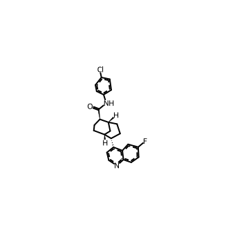 O=C(Nc1ccc(Cl)cc1)[C@@H]1CC[C@@H]2C[C@H]1CC[C@@H]2c1ccnc2ccc(F)cc12